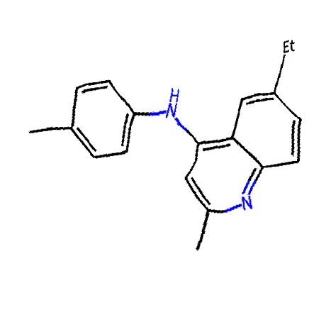 CCc1ccc2nc(C)cc(Nc3ccc(C)cc3)c2c1